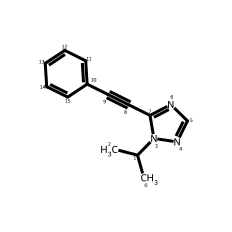 CC(C)n1ncnc1C#Cc1ccccc1